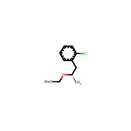 COCO[C@@H](C)[CH]c1ccccc1Cl